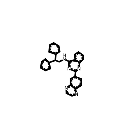 c1ccc(C(CNc2nc(-c3ccc4nccnc4c3)nc3ccccc23)c2ccccc2)cc1